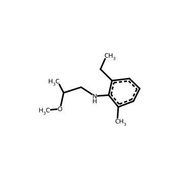 CCc1cccc(C)c1NCC(C)OC